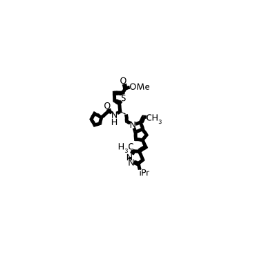 C/C=C1\C2CC(/C=C3/CC(C(C)C)=NN=C3C)CC2N1CC[C@H](NC(=O)C1CCCC1)c1ccc(C(=O)OC)s1